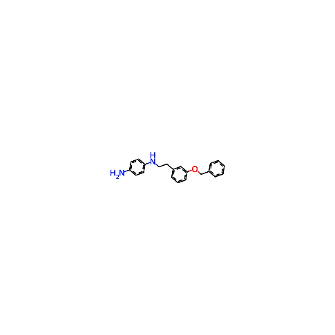 Nc1ccc(NCCc2cccc(OCc3ccccc3)c2)cc1